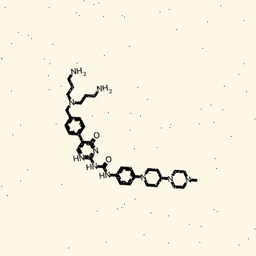 CN1CCN(C2CCN(c3ccc(NC(=O)Nc4nc(=O)c(-c5ccc(CN(CCCN)CCCN)cc5)c[nH]4)cc3)CC2)CC1